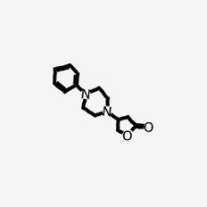 O=C1CC(N2CCN(c3ccccc3)CC2)CO1